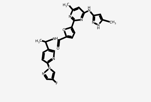 Cc1cc(Nc2cc(C)[nH]n2)nc(-c2ccc(C(=O)NC(C)c3ccc(-n4cc(F)cn4)nc3)o2)n1